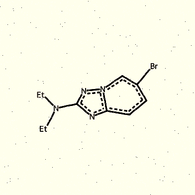 CCN(CC)c1nc2ccc(Br)cn2n1